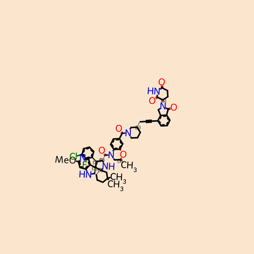 COc1cc2c(cn1)[C@]1(CN2)[C@@H](c2cccc(Cl)c2F)[C@H](C(=O)N2C[C@H](C)Oc3cc(C(=O)N4CCC[C@@H](CC#Cc5cccc6c5CN([C@H]5CCC(=O)NC5=O)C6=O)C4)ccc32)N[C@]12CCCC(C)(C)C2